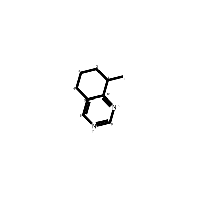 CC1CCCc2cncnc21